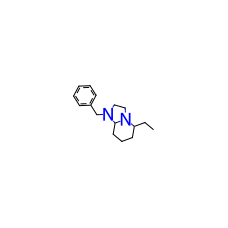 CCC1CCCC2N(Cc3ccccc3)CCN12